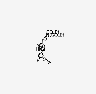 CCOC(=O)CN(COCCCS(=O)(=O)NC1(c2ccc(F)c(OCC3CC3)c2)CC1)C(=O)OCC